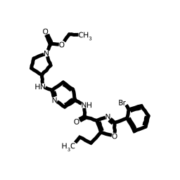 CCCc1oc(-c2ccccc2Br)nc1C(=O)Nc1ccc(NC2CCN(C(=O)OCC)C2)nc1